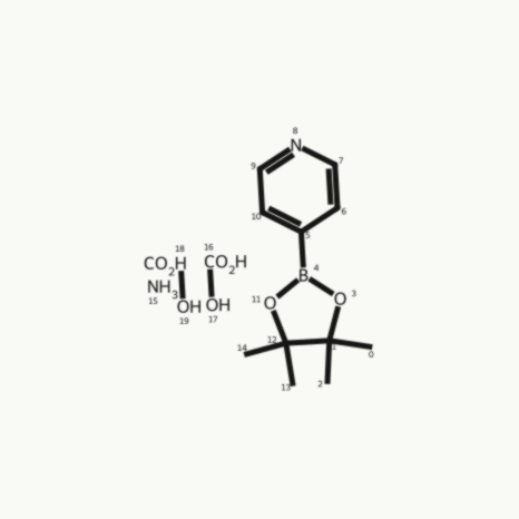 CC1(C)OB(c2ccncc2)OC1(C)C.N.O=C(O)O.O=C(O)O